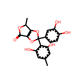 Cc1cc(O)c(C2(c3ccc(O)c(O)c3)OC3=C(O2)C(C)OC3=O)c(O)c1